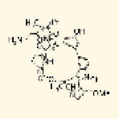 CCn1c(-c2cnccc2COC)c2c3cc(ccc31)-c1cc(O)cc(c1)C[C@H](NC(=O)[C@H](C(C)C)N(C)C(=O)CCN)C(=O)N1CCC[C@H](N1)C(=O)OCC(C)(C)C2